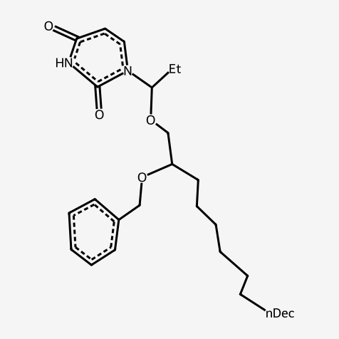 CCCCCCCCCCCCCCCCC(COC(CC)n1ccc(=O)[nH]c1=O)OCc1ccccc1